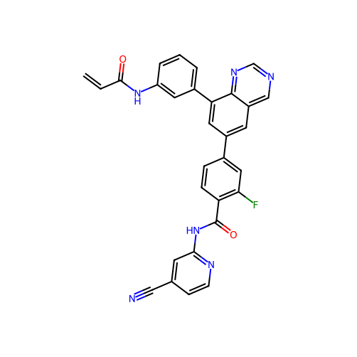 C=CC(=O)Nc1cccc(-c2cc(-c3ccc(C(=O)Nc4cc(C#N)ccn4)c(F)c3)cc3cncnc23)c1